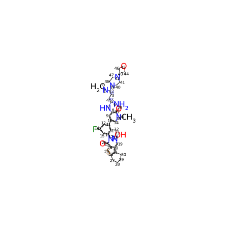 C=N/C(=C\C=C(/N)Nc1cc(-c2cc(F)cc(-n3ncc4c5c(sc4c3=O)CCCC5)c2CO)cn(C)c1=O)N1CCN(C2COC2)CC1